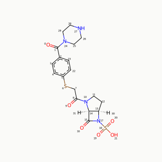 O=C(c1ccc(SCC(=O)N2CC[C@@H]3[C@H]2C(=O)N3S(=O)(=O)O)cc1)N1CCNCC1